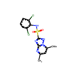 COc1cc(C)nc2nc(S(=O)(=O)Nc3c(Cl)cccc3Cl)nn12